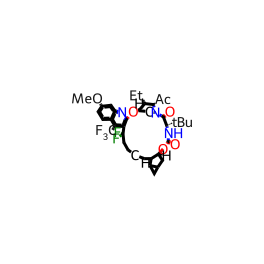 CCC1[C@@H]2CN(C(=O)[C@H](C(C)(C)C)NC(=O)O[C@@H]3CC4CC4[C@H]3CCCCC(F)(F)c3c(nc4cc(OC)ccc4c3C(F)(F)F)O2)[C@@H]1C(C)=O